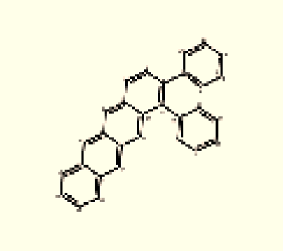 c1ccc(-c2ccc3cc4cc5ccccc5cc4cc3c2-c2ccccc2)cc1